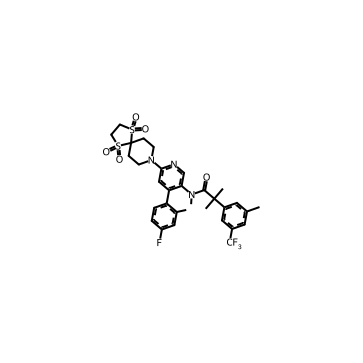 Cc1cc(C(F)(F)F)cc(C(C)(C)C(=O)N(C)c2cnc(N3CCC4(CC3)S(=O)(=O)CCS4(=O)=O)cc2-c2ccc(F)cc2C)c1